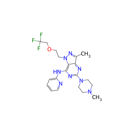 Cc1nn(CCOCC(F)(F)F)c2c(Nc3ccccn3)nc(N3CCN(C)CC3)nc12